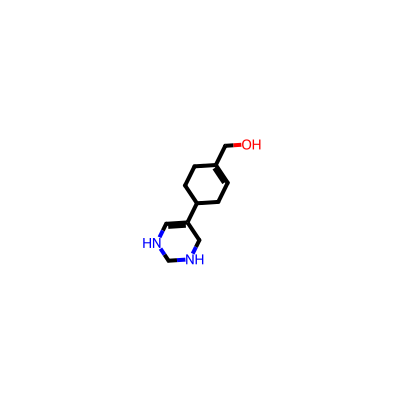 OCC1=CCC(C2=CNCNC2)CC1